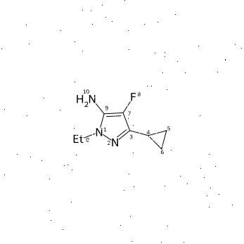 CCn1nc(C2CC2)c(F)c1N